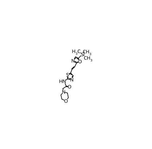 C[Si](C)(C)c1cnc(C=Cc2cnc(NC(=O)CN3CCOCC3)s2)o1